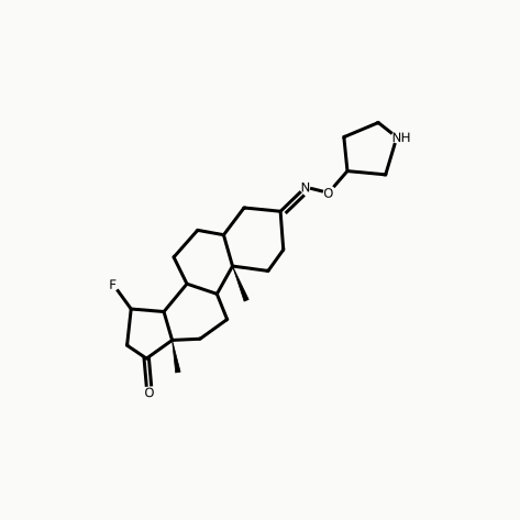 C[C@]12CCC(=NOC3CCNC3)CC1CCC1C2CC[C@]2(C)C(=O)CC(F)C12